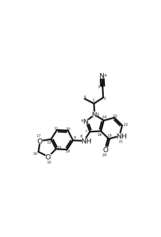 CC(CC#N)n1nc(Nc2ccc3c(c2)OCO3)c2c(=O)[nH]ccc21